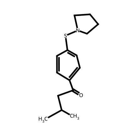 CC(C)CC(=O)c1ccc(SN2CCCC2)cc1